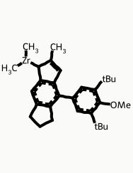 COc1c(C(C)(C)C)cc(-c2c3c(cc4c2CCC4)[CH]([Zr]([CH3])[CH3])C(C)=C3)cc1C(C)(C)C